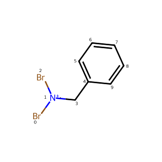 Br[N+](Br)Cc1ccccc1